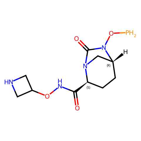 O=C(NOC1CNC1)[C@@H]1CC[C@@H]2CN1C(=O)N2OP